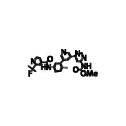 COC(=O)Nc1cc(-c2cncc(-c3cc(NC(=O)c4ccnc(C(C)(C)F)c4)ccc3C)c2)ncn1